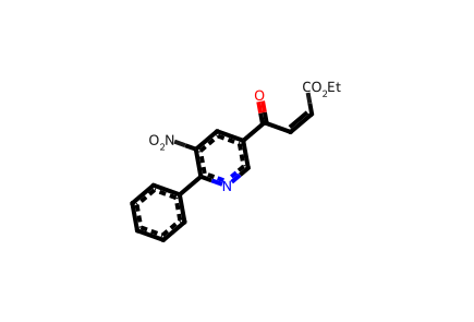 CCOC(=O)/C=C\C(=O)c1cnc(-c2ccccc2)c([N+](=O)[O-])c1